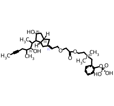 CC#CCC(C)[C@H](O)C(C)C1[C@H](O)C[C@@H]2C/C(=C\COCC(=O)OCC[N+](C)(C)Cc3ccccc3OP(=O)(O)O)C[C@H]12